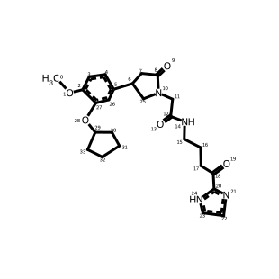 COc1ccc(C2CC(=O)N(CC(=O)NCCCC(=O)c3ncc[nH]3)C2)cc1OC1CCCC1